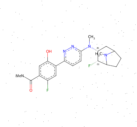 CNC(=O)c1cc(O)c(-c2ccc(N(C)[C@@H]3CC4CCC([C@@H]3F)N4C)nn2)cc1F